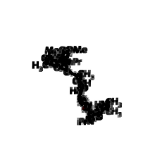 CCCOc1cc(OCCCCN(C)CC(=O)NCC(=O)NCCN2CCN(c3ccc(-c4cc(C(=O)NCc5c(C)cc(C)[nH]c5=O)c5cnn(C(C)C)c5c4)cn3)CC2)cc(Oc2cc3c(cc2NS(=O)(=O)c2ccc(OC)c(OC)c2)n(C)c(=O)n3C)c1